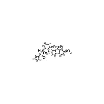 CCCC1(CCC)c2cc(/C(=N/OC(=O)Cc3cccs3)c3ccccc3C)ccc2-c2ccc([N+](=O)[O-])cc21